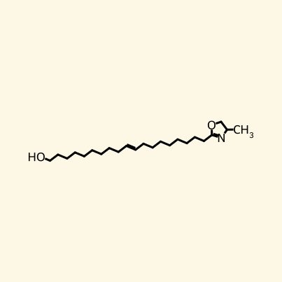 CC1COC(CCCCCCCCC=CCCCCCCCCCO)=N1